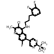 Cc1nc2cc(F)c(-c3cnc(P(C)(C)=O)nc3)cc2c(NCCCc2cccc(F)c2F)c1Cl